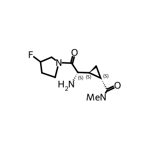 CNC(=O)[C@H]1C[C@@H]1[C@H](N)C(=O)N1CCC(F)C1